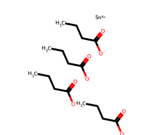 CCCC(=O)[O-].CCCC(=O)[O-].CCCC(=O)[O-].CCCC(=O)[O-].[Sn+4]